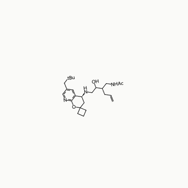 C=CCC(CNC(C)=O)C(O)CN[C@H]1CC2(CCC2)Oc2ncc(CC(C)(C)C)cc21